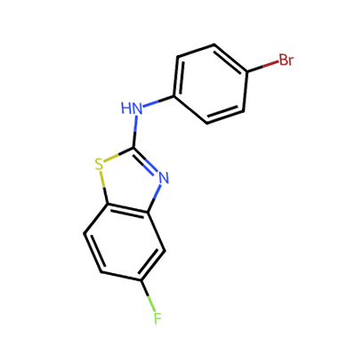 Fc1ccc2sc(Nc3ccc(Br)cc3)nc2c1